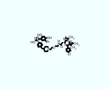 Cc1sc2c(c1C)C(c1ccc(Cl)cc1)=N[C@@H](CC(=O)NCCOCCN1CCC(Cc3ccc(-n4c(O)nnc4-c4cc(C(C)C)c(O)cc4O)cc3)CC1)c1nnc(C)n1-2